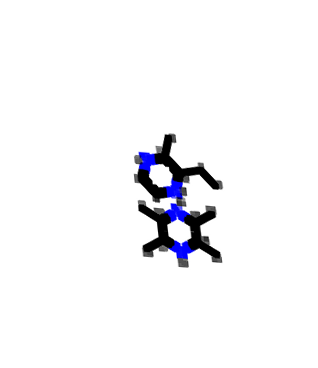 CCc1nccnc1C.Cc1nc(C)c(C)nc1C